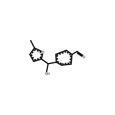 Cc1ccc(C(O)c2ccc(C=O)cc2)o1